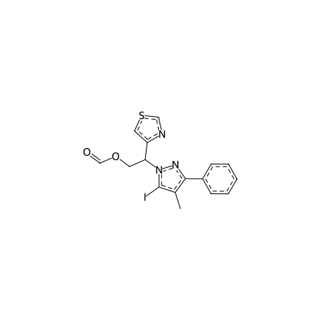 Cc1c(-c2ccccc2)nn(C(COC=O)c2cscn2)c1I